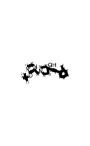 Cc1ccccc1C#CC1(O)CCN(Cc2nccnc2OC(C)(C)C)CC1